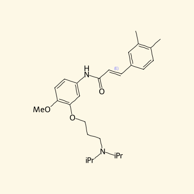 COc1ccc(NC(=O)/C=C/c2ccc(C)c(C)c2)cc1OCCCN(C(C)C)C(C)C